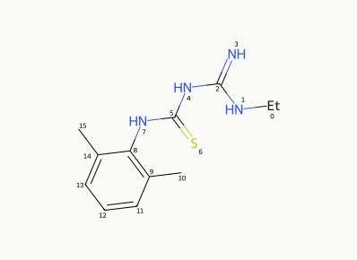 CCNC(=N)NC(=S)Nc1c(C)cccc1C